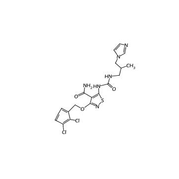 CC(CNC(=O)Nc1snc(OCc2cccc(Cl)c2Cl)c1C(N)=O)Cn1ccnc1